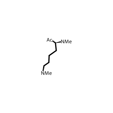 CNCCCC[C@H](NC)C(C)=O